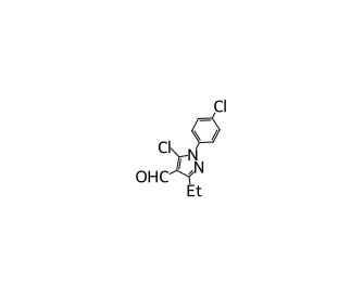 CCc1nn(-c2ccc(Cl)cc2)c(Cl)c1C=O